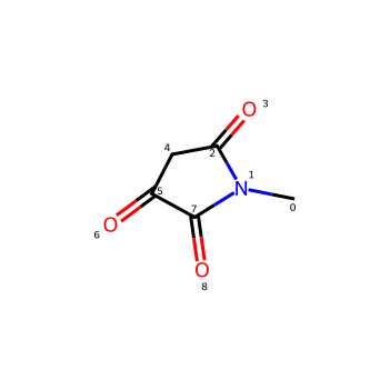 CN1C(=O)CC(=O)C1=O